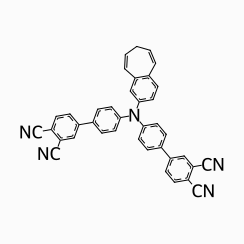 N#Cc1ccc(-c2ccc(N(c3ccc(-c4ccc(C#N)c(C#N)c4)cc3)c3ccc4c(c3)C=CCC=C4)cc2)cc1C#N